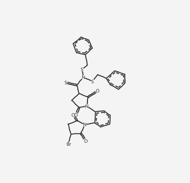 O=C1CC(Br)C(=O)N1c1ccccc1N1C(=O)CC(C(=S)N(SCc2ccccc2)SCc2ccccc2)C1=O